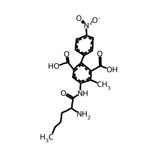 CCCCC(N)C(=O)Nc1cc(C(=O)O)c(-c2ccc([N+](=O)[O-])cc2)c(C(=O)O)c1C